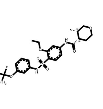 CCOc1cc(NC(=O)[C@H]2CCOC[C@H]2C)ccc1S(=O)(=O)Nc1cccc(OC(C)(F)P)c1